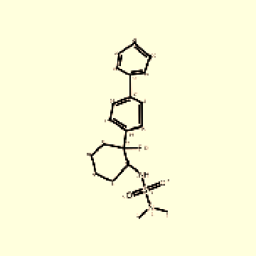 CN(C)S(=O)(=O)NC1CCCCC1(F)c1ccc(-c2ccccc2)cc1